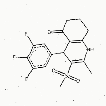 CC1=C(S(C)(=O)=O)C(c2cc(F)c(F)c(F)c2)C2=C(CCCC2=O)N1